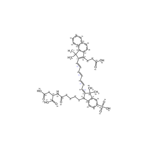 CC1(C)C(/C=C/C=C/C=C/C=C2/N(CCCCC(=O)NC(CC(=O)O)C(=O)O)c3ccc(S(=O)(=O)O)cc3C2(C)C)=[N+](CCC(=O)O)c2ccc3ccccc3c21